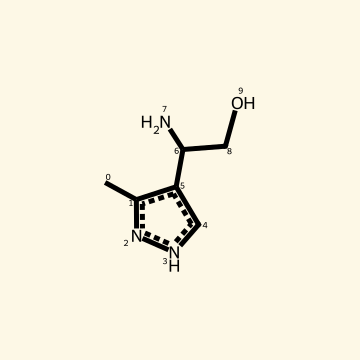 Cc1n[nH]cc1C(N)CO